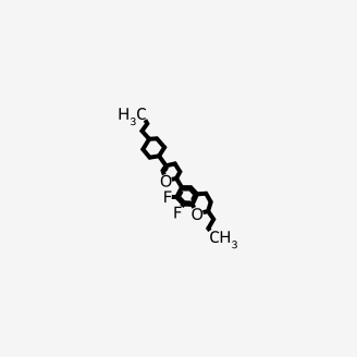 CCCC1CCC(C2=COC(c3cc4c(c(F)c3F)OC(CCC)CC4)CC2)CC1